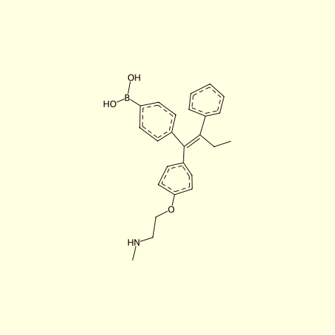 CC/C(=C(\c1ccc(OCCNC)cc1)c1ccc(B(O)O)cc1)c1ccccc1